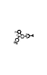 O=C(C1CCS(=O)(=O)CC1)N1CCN(c2ncc(C3CC3)cn2)CC1c1cccc(F)c1